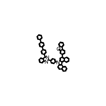 c1ccc(-c2ccc(-c3ccc(-c4nc(-c5ccc(-n6c7ccc8ccccc8c7c7c8ccccc8c(-c8ccc9c(c8)oc8ccccc89)cc76)cc5)nc5ccccc45)cc3)cc2)cc1